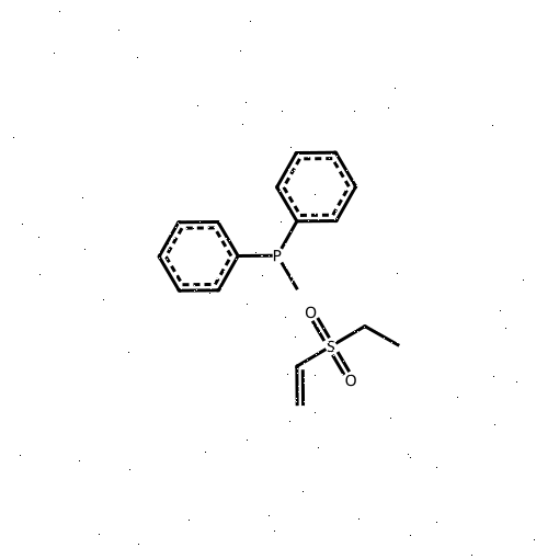 C=CS(=O)(=O)CC.CP(c1ccccc1)c1ccccc1